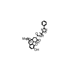 CC[C@@]12c3c4ccc(O)c3O[C@@H]1C(=O)[C@@H](C(=O)NC(C)(C)c1nc(-c3ccccc3)no1)CC2(O)[C@@H](NC)C4